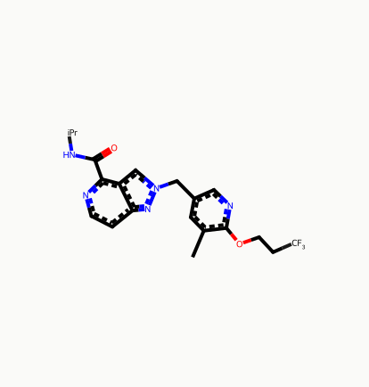 Cc1cc(Cn2cc3c(C(=O)NC(C)C)nccc3n2)cnc1OCCC(F)(F)F